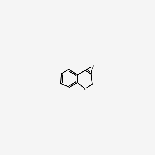 c1ccc2c(c1)OCC1=C2O1